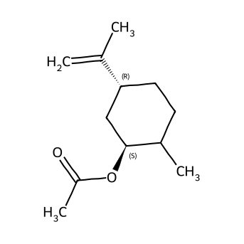 C=C(C)[C@@H]1CCC(C)[C@@H](OC(C)=O)C1